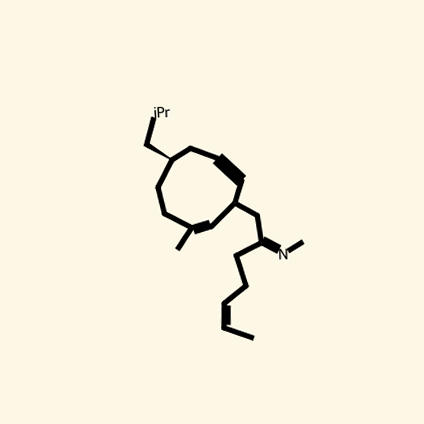 C/C=C\CC/C(CC1C#CC[C@H](CC(C)C)CC/C(C)=C\1)=N/C